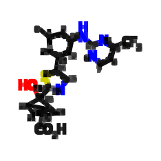 Cc1cc(Nc2nccc(C(F)(F)F)n2)cc(-c2cnc(C3(O)C4CC5C(C4C(=O)O)C53)s2)c1